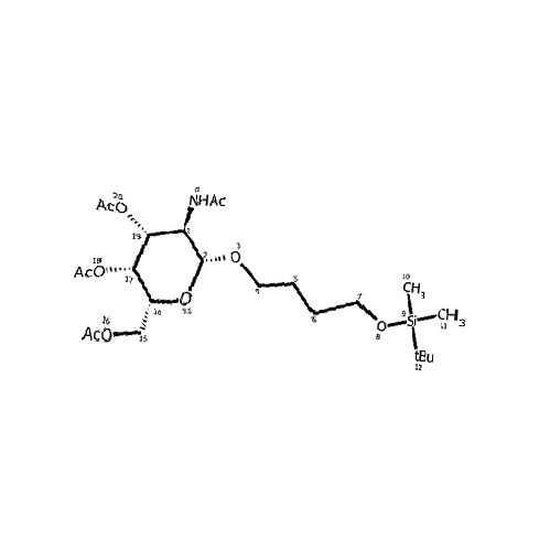 CC(=O)N[C@H]1[C@H](OCCCCO[Si](C)(C)C(C)(C)C)O[C@H](COC(C)=O)[C@H](OC(C)=O)[C@@H]1OC(C)=O